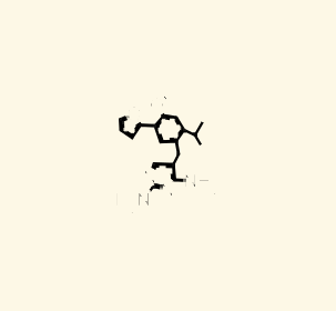 COc1cc(C(C)C)c(Cc2cnc(N)nc2N)cc1-c1ccco1